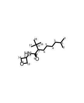 CC(C)CCCCC(C(=O)NC1COC1)C(C)(C)C